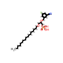 CCCCCCCCCCCCCCCCCOCC(COP(=O)(O)O)OCc1cc(F)cc(C#N)c1